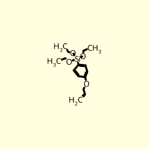 C=CCOc1ccc([Si](OCC)(OCC)OCC)cc1